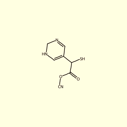 N#COC(=O)C(S)C1=CNCN=C1